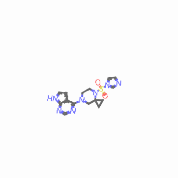 O=S(=O)(N1CCN(c2ncnc3[nH]ccc23)CC12CC2)n1ccnc1